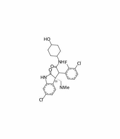 CNC[C@@]1(C(C(=O)NC2CCC(O)CC2)c2cccc(Cl)c2F)C(=O)Nc2cc(Cl)ccc21